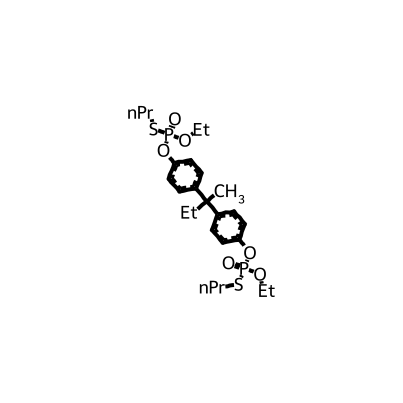 CCCSP(=O)(OCC)Oc1ccc(C(C)(CC)c2ccc(OP(=O)(OCC)SCCC)cc2)cc1